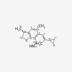 C/C(=C\c1c(C)cc2c(c1C=N)CC[C@H]2C)C1CC1